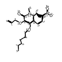 C=CCOc1c(OCCCCCC)c2ccc([N+](=O)[O-])cc2n(C)c1=O